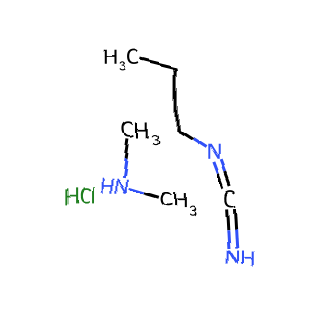 CCCN=C=N.CNC.Cl